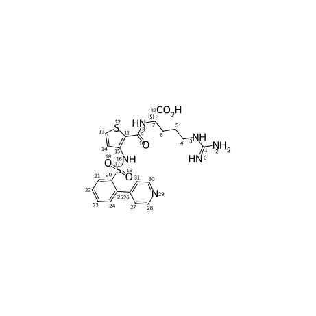 N=C(N)NCCC[C@H](NC(=O)c1sccc1NS(=O)(=O)c1ccccc1-c1ccncc1)C(=O)O